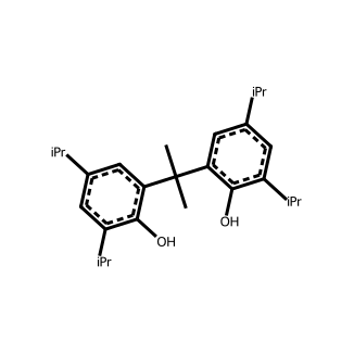 CC(C)c1cc(C(C)C)c(O)c(C(C)(C)c2cc(C(C)C)cc(C(C)C)c2O)c1